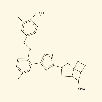 Cc1ccc(OCc2ccc(C(=O)O)c(C)c2)c(-c2csc(N3CC4C(C=O)C5CCC54C3)n2)c1